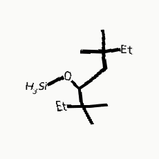 CCC(C)(C)CC(O[SiH3])C(C)(C)CC